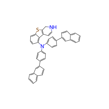 C1=Cc2c(sc3cccc(N(c4ccc(-c5ccc6ccccc6c5)cc4)c4ccc(-c5ccc6ccccc6c5)cc4)c23)CN1